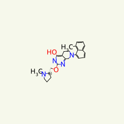 Cc1cccc2cccc(N3CCc4c(O)nc(OC[C@@H]5CCCN5C)nc4C3)c12